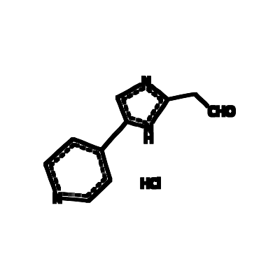 Cl.O=CCc1ncc(-c2ccncc2)[nH]1